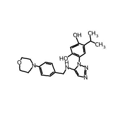 CC(C)c1cc(-n2nncc2NCc2ccc(N3CCOCC3)cc2)c(O)cc1O